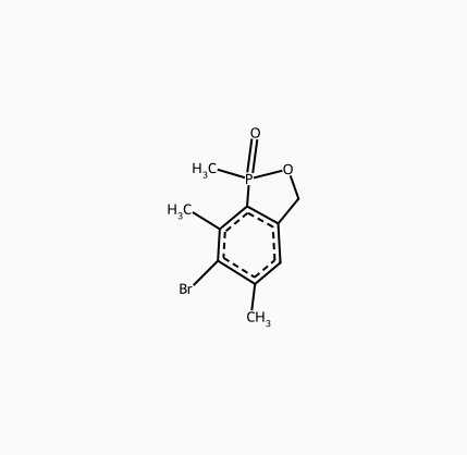 Cc1cc2c(c(C)c1Br)P(C)(=O)OC2